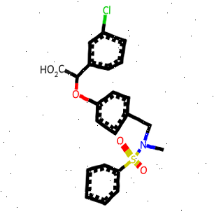 CN(Cc1ccc(OC(C(=O)O)c2cccc(Cl)c2)cc1)S(=O)(=O)c1ccccc1